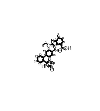 CCOc1nc2c(C)ccc(C(=O)O)c2n1Cc1ccc(-c2ccccc2-c2noc(=O)[nH]2)cc1